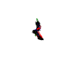 O=C(OCc1ccccc1)N(CCC[N+]12CCC(CC1)C(OC(=O)N(Cc1ccc(F)cc1)c1ccccc1F)C2)c1ccccc1F